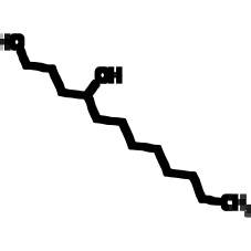 CCCCCCCCC(O)CCCO